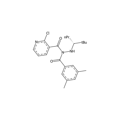 CCC[C@@H](NN(C(=O)c1cc(C)cc(C)c1)C(=O)c1cccnc1Cl)C(C)(C)C